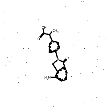 CC(C(=O)O)c1ccc(N2Cc3c(N)cccc3C2=O)cc1